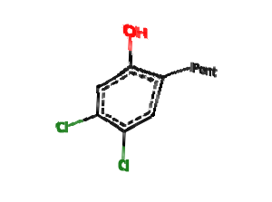 CCCC(C)c1cc(Cl)c(Cl)cc1O